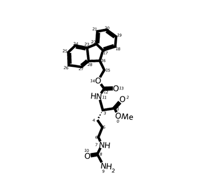 COC(=O)[C@H](CCCNC(N)=O)NC(=O)OCC1c2ccccc2-c2ccccc21